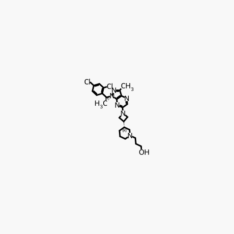 Cc1nn([C@H](C)c2ccc(Cl)cc2Cl)c2nc(N3CC([C@H]4CCCN(CCCO)C4)C3)cnc12